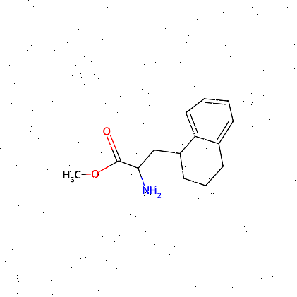 COC(=O)C(N)CC1CCCc2ccccc21